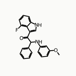 COc1cccc(NC(C(=O)c2c[nH]c3cccc(F)c23)c2ccccc2)c1